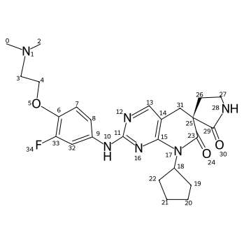 CN(C)CCOc1ccc(Nc2ncc3c(n2)N(C2CCCC2)C(=O)[C@]2(CCNC2=O)C3)cc1F